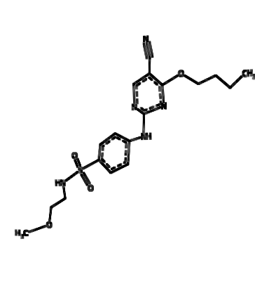 CCCCOc1nc(Nc2ccc(S(=O)(=O)NCCOC)cc2)ncc1C#N